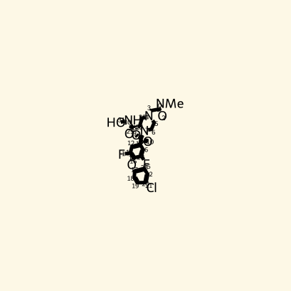 CNC(=O)CN1CCN(S(=O)(=O)c2cc(F)c(Oc3ccc(Cl)cc3)c(F)c2)[C@@H](C(=O)NO)C1